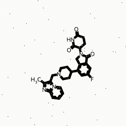 Cc1nc2ccccn2c1CN1CCC(c2cc(F)cc3c2CN(C2CCC(=O)NC2=O)C3=O)CC1